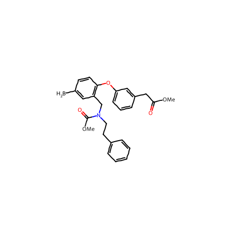 Bc1ccc(Oc2cccc(CC(=O)OC)c2)c(CN(CCc2ccccc2)C(=O)OC)c1